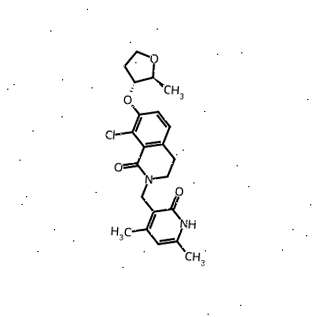 Cc1cc(C)c(CN2CCc3ccc(O[C@@H]4CCO[C@H]4C)c(Cl)c3C2=O)c(=O)[nH]1